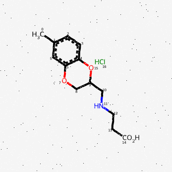 Cc1ccc2c(c1)OCC(CNCCC(=O)O)O2.Cl